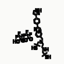 CC(C)(S)CNCCN(Cc1ccc2nc(-c3ccc(-c4cc[nH]n4)cc3)cn2c1)CC(C)(C)S.O=C(O)C(F)(F)F.O=C(O)C(F)(F)F